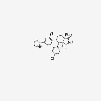 CC[C@@]12CC[C@@H](c3ccc(-c4ccc[nH]4)cc3Cl)[C@H](c3ccc(Cl)cc3)[C@@H]1[C@@H](C)NC2=O